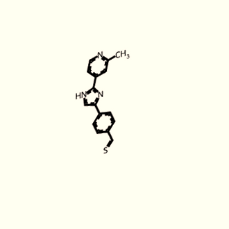 Cc1cc(-c2nc(-c3ccc(C=S)cc3)c[nH]2)ccn1